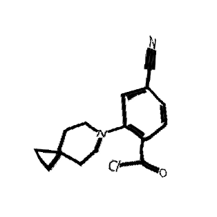 N#Cc1ccc(C(=O)Cl)c(N2CCC3(CC2)CC3)c1